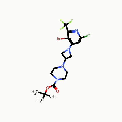 CC(C)(C)OC(=O)N1CCN(C2CN(c3cc(Cl)nc(C(F)(F)F)c3Br)C2)CC1